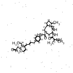 C\C=C/C(=C\C=C\Cc1ccc(NC(=O)N2CCC3CCC(C)N3ONC(NC(=O)C(C)NC)C2)cc1)N(CC)CCC=O